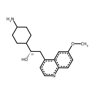 COc1ccc2nccc(C[C@H](O)C3CCC(N)CC3)c2c1